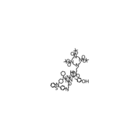 CN(CCOc1nc(N[C@@H](Cc2ccc(O)cc2)C(=O)NCCCN2CCN(C(=O)OC(C)(C)C)CCN(C(=O)OC(C)(C)C)CCN(C(=O)OC(C)(C)C)CC2)nc(N(C2CCCCC2)C2CCCCC2)n1)c1ccc(-c2nc3ccccc3s2)cc1